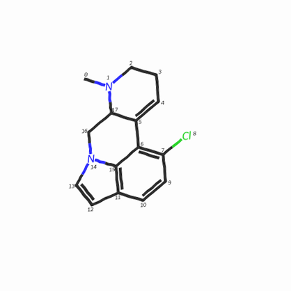 CN1CCC=C2c3c(Cl)ccc4ccn(c34)CC21